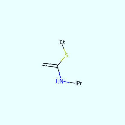 C=C(NC(C)C)SCC